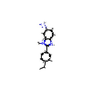 CCc1ccc(-c2nc3ccc(N)cc3n2C)cc1